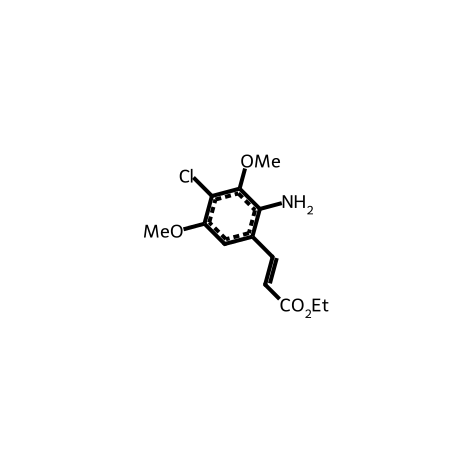 CCOC(=O)C=Cc1cc(OC)c(Cl)c(OC)c1N